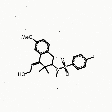 COc1ccc2c(c1)C(=CCO)C(C)(C)C(N(C)S(=O)(=O)c1ccc(C)cc1)C2